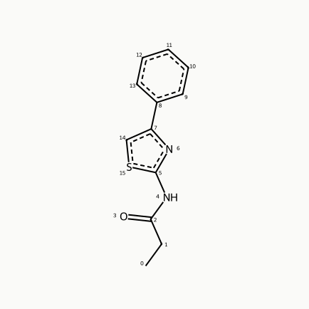 CCC(=O)Nc1nc(-c2ccccc2)cs1